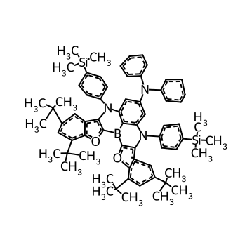 CC(C)(C)c1cc(C(C)(C)C)c2oc3c(c2c1)N(c1ccc([Si](C)(C)C)cc1)c1cc(N(c2ccccc2)c2ccccc2)cc2c1B3c1oc3c(C(C)(C)C)cc(C(C)(C)C)cc3c1N2c1ccc([Si](C)(C)C)cc1